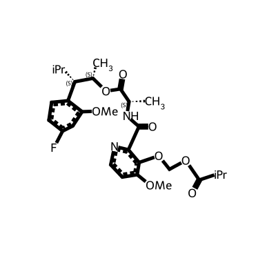 COc1cc(F)ccc1[C@H](C(C)C)[C@H](C)OC(=O)[C@H](C)NC(=O)c1nccc(OC)c1OCOC(=O)C(C)C